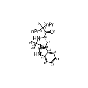 CCCC(C)(CCC)C(=O)[C@H](Cc1c[nH]c2ccccc12)NC(C)(C)CC